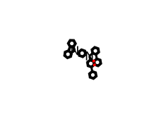 c1ccc(-c2ccc(N(c3ccc(-n4c5ccccc5c5ccccc54)cc3)c3ccccc3-c3ccccc3)cc2)cc1